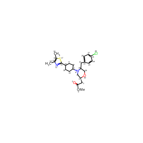 COC(=O)C[C@H]1CN(C2CCC(c3nc(C)c(C)s3)CC2)C(Cc2ccc(Cl)cc2)CO1